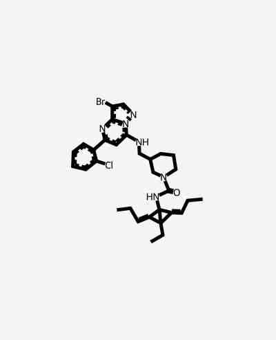 CC/C=C1/C2(CC)/C(=C/CC)C12NC(=O)N1CCCC(CNc2cc(-c3ccccc3Cl)nc3c(Br)cnn23)C1